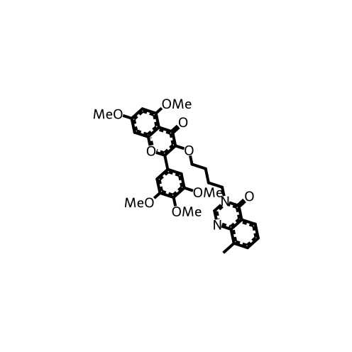 COc1cc(OC)c2c(=O)c(OCCCCn3cnc4c(C)cccc4c3=O)c(-c3cc(OC)c(OC)c(OC)c3)oc2c1